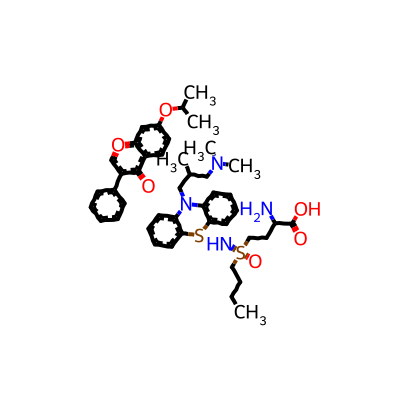 CC(C)Oc1ccc2c(=O)c(-c3ccccc3)coc2c1.CC(CN(C)C)CN1c2ccccc2Sc2ccccc21.CCCCS(=N)(=O)CCC(N)C(=O)O